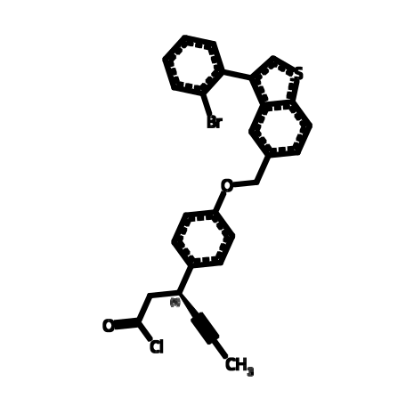 CC#C[C@@H](CC(=O)Cl)c1ccc(OCc2ccc3scc(-c4ccccc4Br)c3c2)cc1